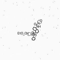 CCOC(=O)N1CCC(N(c2ccccc2)S(=O)(=O)c2cccc3c(NC(=O)N4CCOCC4)cccc23)CC1